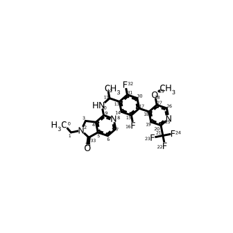 CCN1Cc2c(ccnc2NC(C)c2cc(F)c(-c3cc(C(F)(F)F)ncc3OC)cc2F)C1=O